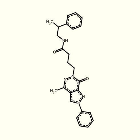 Cc1nn(CCCC(=O)NCC(C)c2ccccc2)c(=O)c2nn(-c3ccccc3)cc12